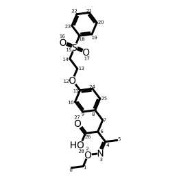 CCO/N=C(/C)C(Cc1ccc(OCCS(=O)(=O)c2ccccc2)cc1)C(=O)O